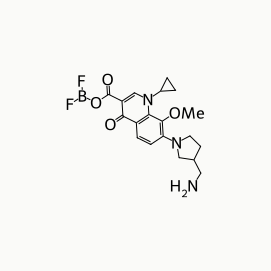 COc1c(N2CCC(CN)C2)ccc2c(=O)c(C(=O)OB(F)F)cn(C3CC3)c12